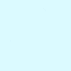 ClC(c1ccccc1)(c1ccccc1)c1ccccc1-c1ccccc1.P